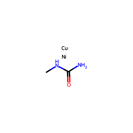 CNC(N)=O.[Cu].[Ni]